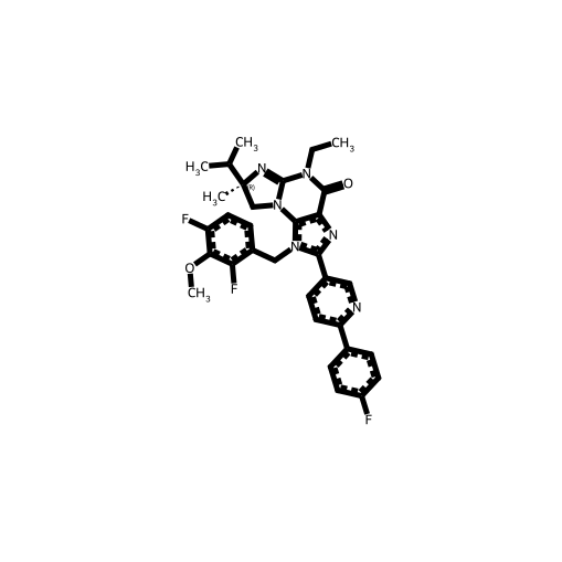 CCN1C(=O)c2nc(-c3ccc(-c4ccc(F)cc4)nc3)n(Cc3ccc(F)c(OC)c3F)c2N2C[C@@](C)(C(C)C)N=C12